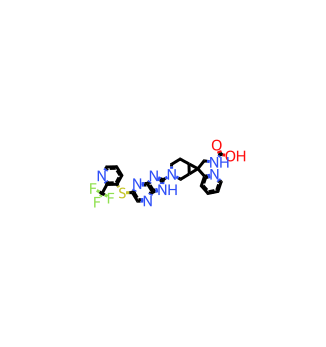 O=C(O)NCC1(c2ccccn2)C2CCN(c3nc4nc(Sc5cccnc5C(F)(F)F)cnc4[nH]3)CC21